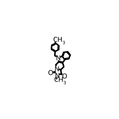 Cc1ccc(Cn2c3c(c4ccccc42)CC2C(=O)N(C)C(=O)N2C3)cc1